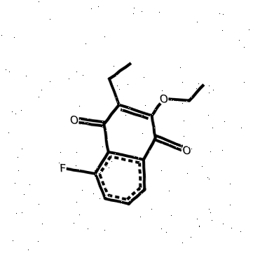 CCOC1=C(CC)C(=O)c2c(F)cccc2C1=O